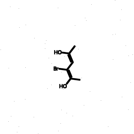 CC(O)=C/C(Br)=C(\C)O